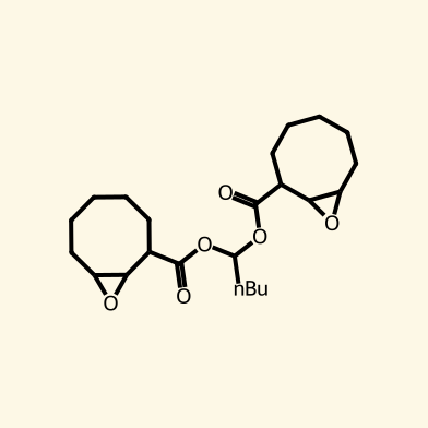 CCCCC(OC(=O)C1CCCCCC2OC21)OC(=O)C1CCCCCC2OC21